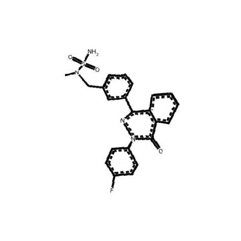 CN(Cc1cccc(-c2nn(-c3ccc(F)cc3)c(=O)c3ccccc23)c1)S(N)(=O)=O